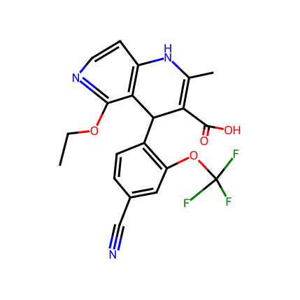 CCOc1nccc2c1C(c1ccc(C#N)cc1OC(F)(F)F)C(C(=O)O)=C(C)N2